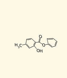 Cc1ccc(C(=O)Oc2ccccc2)c(O)c1